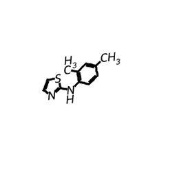 Cc1ccc(Nc2nccs2)c(C)c1